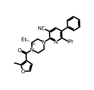 CC[C@@H]1CN(c2nc(C(C)C)c(-c3ccccc3)cc2C#N)CCN1C(=O)c1ccoc1C